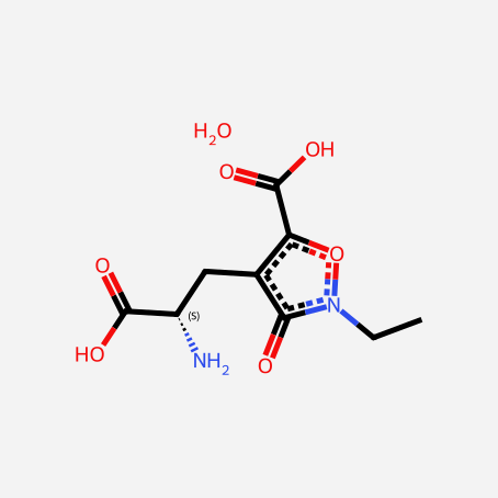 CCn1oc(C(=O)O)c(C[C@H](N)C(=O)O)c1=O.O